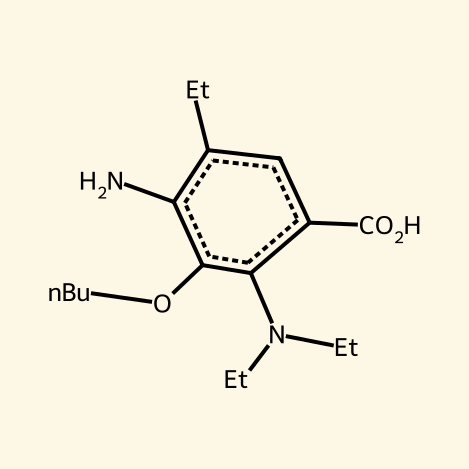 CCCCOc1c(N)c(CC)cc(C(=O)O)c1N(CC)CC